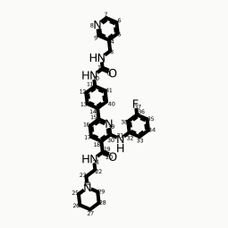 O=C(NCc1cccnc1)Nc1ccc(-c2ccc(C(=O)NCCN3CCCCC3)c(Nc3cccc(F)c3)n2)cc1